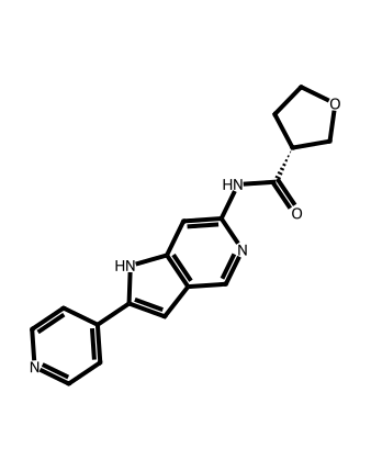 O=C(Nc1cc2[nH]c(-c3ccncc3)cc2cn1)[C@@H]1CCOC1